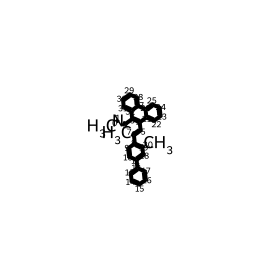 C/N=C/c1c(/C=C(\C)c2ccc(-c3ccccc3)cc2C)c2ccccc2c2ccccc12